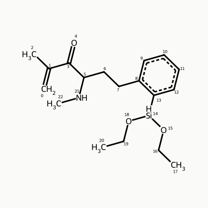 C=C(C)C(=O)C(CCc1ccccc1[SiH](OCC)OCC)NC